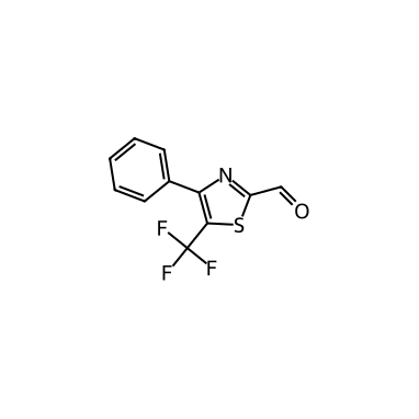 O=Cc1nc(-c2ccccc2)c(C(F)(F)F)s1